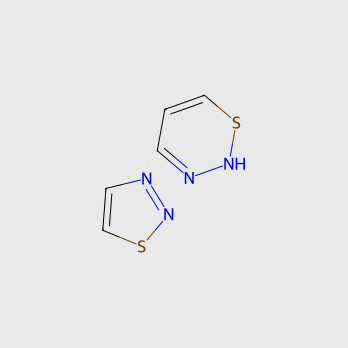 C1=CSNN=C1.c1csnn1